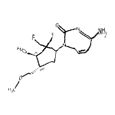 COC[C@H]1CC(n2ccc(N)nc2=O)C(F)(F)[C@@H]1O